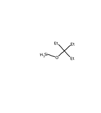 CCC(CC)(CC)O[SiH3]